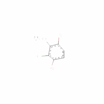 COc1c(Br)c[c]c(Br)c1Cl